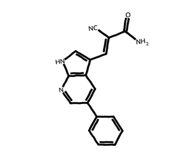 N#C/C(=C\c1c[nH]c2ncc(-c3ccccc3)cc12)C(N)=O